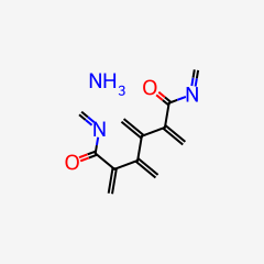 C=NC(=O)C(=C)C(=C)C(=C)C(=C)C(=O)N=C.N